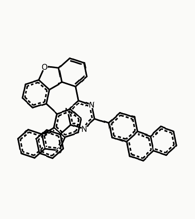 C1=CC2Oc3cccc(-c4cccc5oc6ccccc6c45)c3C2C(c2nc(-c3ccccc3)nc(-c3ccc4c(ccc5ccccc54)c3)n2)=C1